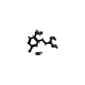 CN(C)CCc1cc(F)ccc1C(=O)O.Cl